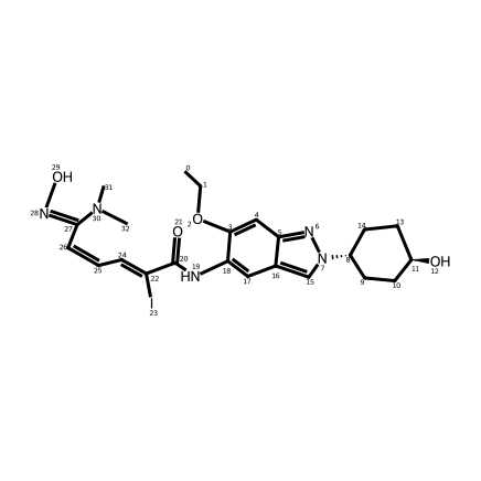 CCOc1cc2nn([C@H]3CC[C@H](O)CC3)cc2cc1NC(=O)/C(I)=C/C=C\C(=N\O)N(C)C